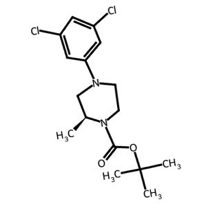 C[C@H]1CN(c2cc(Cl)cc(Cl)c2)CCN1C(=O)OC(C)(C)C